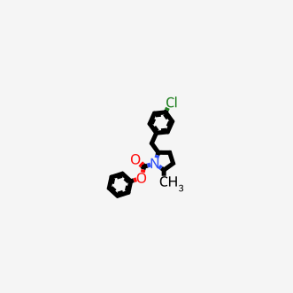 CC1CCC(Cc2ccc(Cl)cc2)N1C(=O)Oc1ccccc1